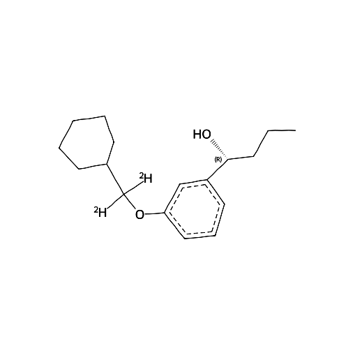 [2H]C([2H])(Oc1cccc([C@H](O)CCC)c1)C1CCCCC1